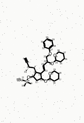 C#C[C@@H](I)CC1C(O[Si](C)(C)C(C)(C)C)CC(OC2CCCCO2)C1C=CC(COc1ccccc1)OC1CCCCO1